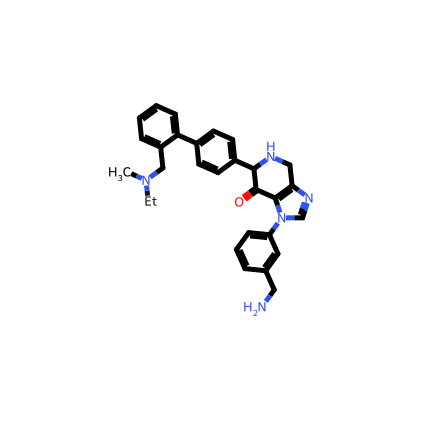 CCN(C)Cc1ccccc1-c1ccc(C2NCc3ncn(-c4cccc(CN)c4)c3C2=O)cc1